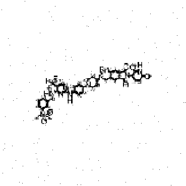 CN(Cc1cc2c(cc1Br)C(=O)N(C1CCC(=O)NC1=O)C2=O)C1CCN(c2ccc(Nc3ncc(C(F)(F)F)c(NCc4cccc(N(C)S(C)(=O)=O)c4)n3)cc2)CC1